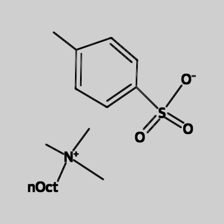 CCCCCCCC[N+](C)(C)C.Cc1ccc(S(=O)(=O)[O-])cc1